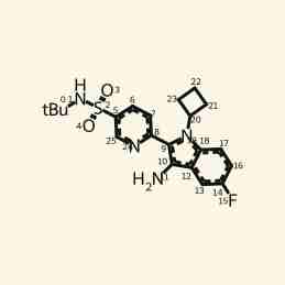 CC(C)(C)NS(=O)(=O)c1ccc(-c2c(N)c3cc(F)ccc3n2C2CCC2)nc1